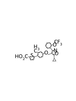 Cc1cc(OCc2c(-c3ccccc3OC(F)(F)F)noc2C2CC2)ccc1-c1ccc(C(=O)O)s1